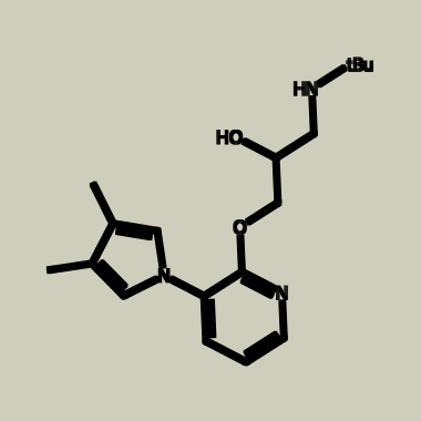 Cc1cn(-c2cccnc2OCC(O)CNC(C)(C)C)cc1C